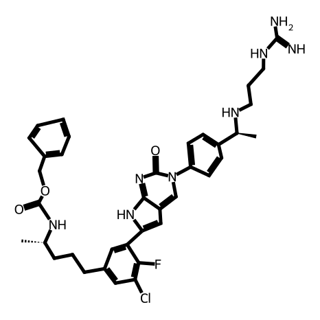 C[C@H](NCCCNC(=N)N)c1ccc(-n2cc3cc(-c4cc(CCC[C@H](C)NC(=O)OCc5ccccc5)cc(Cl)c4F)[nH]c3nc2=O)cc1